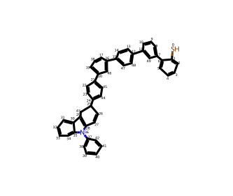 Sc1ccccc1-c1cccc(-c2ccc(-c3cccc(-c4ccc(C5C=Cc6c(c7ccccc7n6-c6ccccc6)C5)cc4)c3)cc2)c1